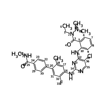 CCN(C(=O)c1ccccc1Nc1nc(Nc2cc(C)c(-c3ccc(C(=O)NC)cc3)cc2F)ncc1Cl)N(C)C